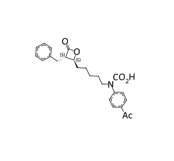 CC(=O)c1ccc(N(CCCCC[C@@H]2OC(=O)[C@H]2Cc2ccccc2)C(=O)O)cc1